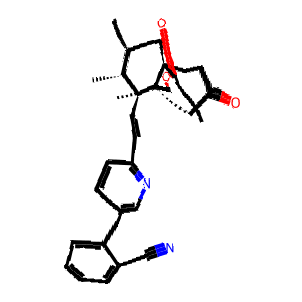 C[C@@H]1[C@@H](C)C[C@]23CC(=O)C[C@]2([C@@H](C)OC3=O)[C@H]1/C=C/c1ccc(-c2ccccc2C#N)cn1